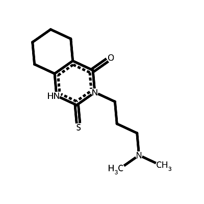 CN(C)CCCn1c(=S)[nH]c2c(c1=O)CCCC2